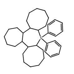 c1ccc(S2(c3ccccc3)C3CCCCCCC3C3CCCCCC3C3CCCCCCC32)cc1